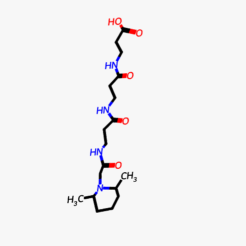 CC1CCCC(C)N1CC(=O)NCCC(=O)NCCC(=O)NCCC(=O)O